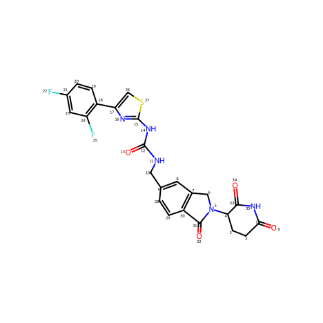 O=C1CCC(N2Cc3cc(CNC(=O)Nc4nc(-c5ccc(F)cc5F)cs4)ccc3C2=O)C(=O)N1